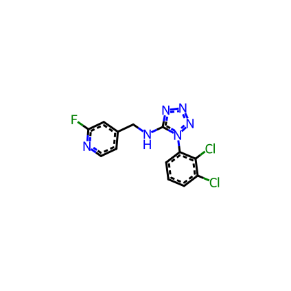 Fc1cc(CNc2nnnn2-c2cccc(Cl)c2Cl)ccn1